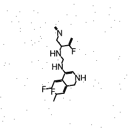 C=NCC(NCNC1=CNCC(=C/C(C)F)/C1=C\CF)C(=C)F